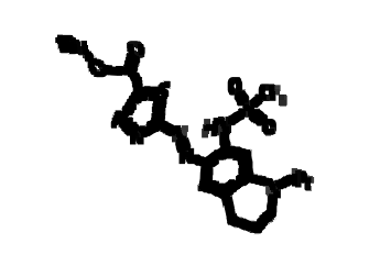 CC(C)N1CCCc2cc(N=Nc3nnc(C(=O)OC(C)(C)C)s3)c(NS(=O)(=O)C(F)(F)F)cc21